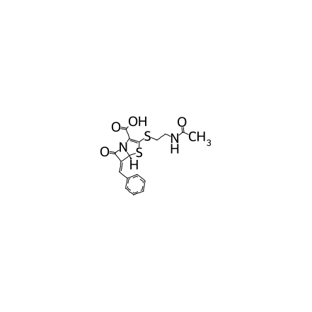 CC(=O)NCCSC1=C(C(=O)O)N2C(=O)/C(=C/c3ccccc3)[C@H]2S1